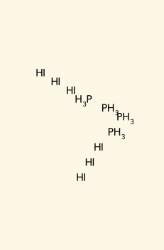 I.I.I.I.I.I.P.P.P.P